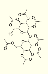 CC(=O)OC[C@H]1O[C@H](O[C@H]2O[C@H](CS)[C@@H](OC(C)=O)[C@H](OC(C)=O)[C@H]2OC(C)=O)[C@H](OC(C)=O)[C@@H](OC(C)=O)[C@@H]1OC(C)=O